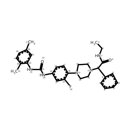 CCNC(=O)C(c1ccccc1)N1CCN(c2ccc(NC(=O)Nc3cc(C)ccc3C)cc2F)CC1